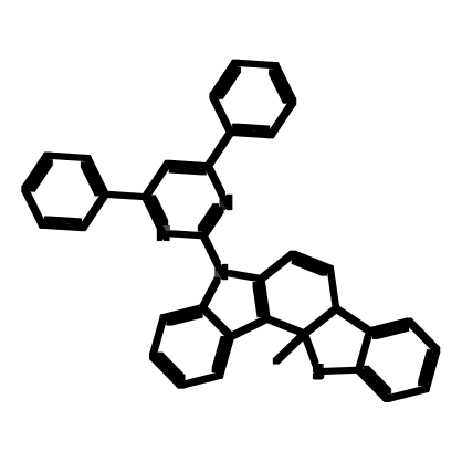 CC12Sc3ccccc3C1C=Cc1c2c2ccccc2n1-c1nc(-c2ccccc2)cc(-c2ccccc2)n1